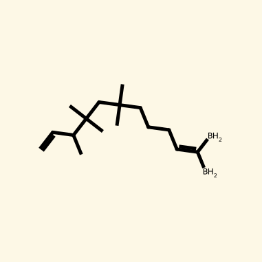 BC(B)=CCCCC(C)(C)CC(C)(C)C(C)C=C